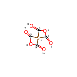 O=C1OC(=O)S12C(=O)OC2=O